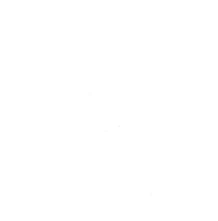 CCCCc1ccc(CCc2cc3cc4sc5c6cc7sc(CCc8ccc(CCCC)cc8)cc7cc6sc5c4cc3s2)cc1